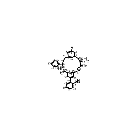 CC1(N)Cc2cc(F)cc(c2)CCC(c2ccccc2)NC(=O)c2cc(cc(-c3ccccc3C#N)c2)COC1=O